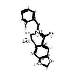 CCC1=[N+](Cc2ccccc2F)CCc2cc3c(cc21)OCO3.[Cl-]